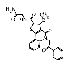 COC1c2c(c3ccccc3n(CC(=O)c3ccccc3)c2=O)SC1C(=O)NCC(N)=O